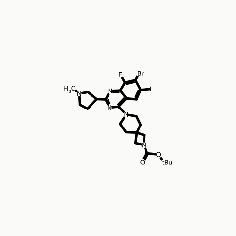 CN1CCC(c2nc(N3CCC4(CC3)CN(C(=O)OC(C)(C)C)C4)c3cc(I)c(Br)c(F)c3n2)C1